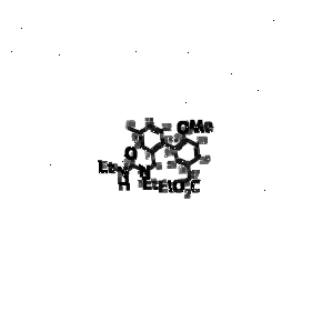 CCNC(=O)N(CC)Cc1cc(C)ccc1-c1cc(CC(=O)OCC)ccc1OC